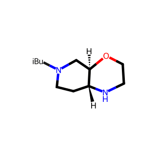 CCC(C)N1CC[C@H]2NCCO[C@@H]2C1